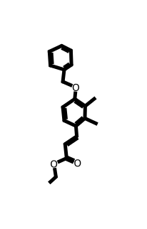 CCOC(=O)/C=C/c1ccc(OCc2ccccc2)c(C)c1C